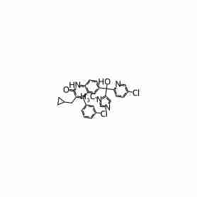 Cn1cncc1C(O)(c1ccc2[nH]c(=O)c(CC3CC3)c(-c3cccc(Cl)c3)c2c1)c1ccc(Cl)cn1